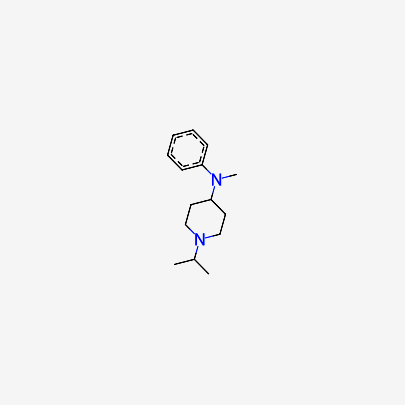 CC(C)N1CCC(N(C)c2ccccc2)CC1